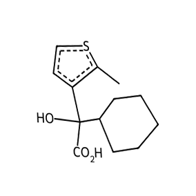 Cc1sccc1C(O)(C(=O)O)C1CCCCC1